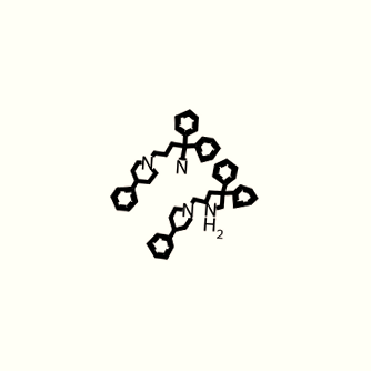 N#CC(CCCN1CCC(c2ccccc2)CC1)(c1ccccc1)c1ccccc1.NCC(CCCN1CCC(c2ccccc2)CC1)(c1ccccc1)c1ccccc1